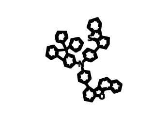 c1ccc(C2(c3ccccc3)c3ccccc3-c3ccc(N(c4ccc(-c5cccc6c5sc5ccccc56)cc4)c4ccc(-c5cccc6oc7c8ccccc8ccc7c56)cc4)cc32)cc1